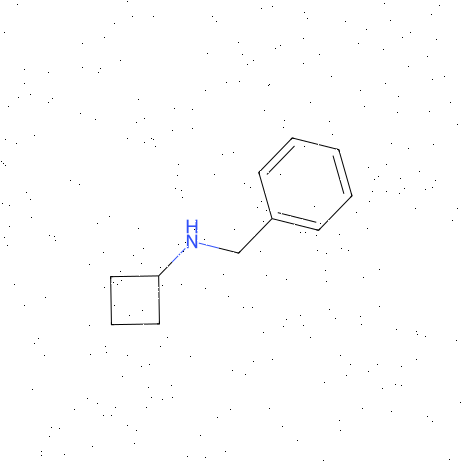 c1ccc(CNC2CCC2)cc1